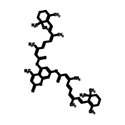 CC(C=CC1=C(C)CCCC1(C)C)=CC=CC(C)=CC(=O)Oc1cc(OC(=O)C=C(C)C=CC=C(C)C=CC2=C(C)CCCC2(C)C)c2c(C)cc(=O)oc2c1